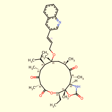 CC[C@H]1OC(=O)[C@H](C)C(=O)[C@H](C)[C@@H](C(C)C)[C@](C)(OC/C=C/c2cnc3ccccc3c2)C[C@@H](C)C(=O)[C@H](C)[C@H]2NC(=O)O[C@@]21C